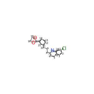 Clc1ccc2ccc(CCCc3cccc(C4OCCO4)c3)nc2c1